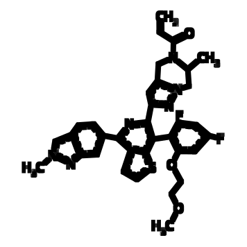 C=CC(=O)N1Cc2cc(-c3nc(-c4ccc5cn(C)nc5c4)c4ccsc4c3-c3c(F)cc(F)cc3OCCOC)nn2CC1C